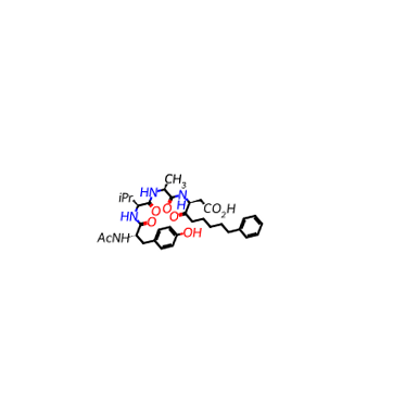 CC(=O)N[C@@H](Cc1ccc(O)cc1)C(=O)N[C@H](C(=O)N[C@@H](C)C(=O)N[C@@H](CC(=O)O)C(=O)CCCCCc1ccccc1)C(C)C